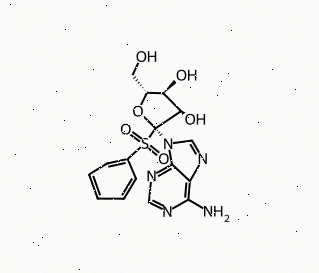 Nc1ncnc2c1ncn2[C@]1(S(=O)(=O)c2ccccc2)O[C@H](CO)[C@@H](O)[C@H]1O